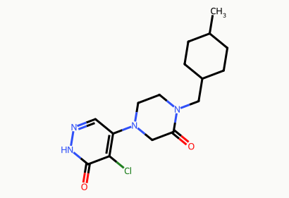 CC1CCC(CN2CCN(c3cn[nH]c(=O)c3Cl)CC2=O)CC1